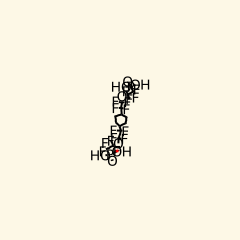 O=P(O)(O)C(F)(F)C(F)(F)OC(F)(F)C(F)(F)C1CCC(C(F)(F)C(F)(F)OC(F)(F)C(F)(F)P(=O)(O)O)CC1